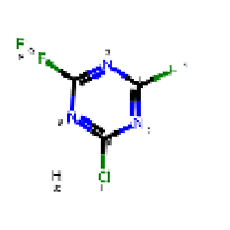 Fc1nc(F)nc(Cl)n1.[F-].[H+]